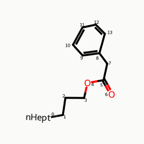 CCCCCCCCCCOC(=O)Cc1ccccc1